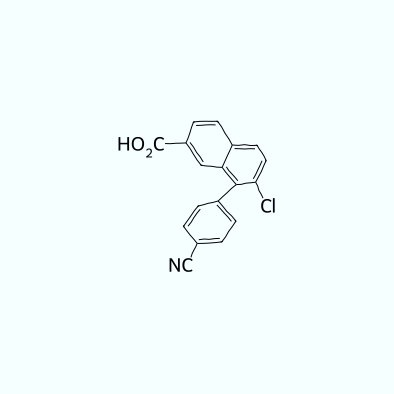 N#Cc1ccc(-c2c(Cl)ccc3ccc(C(=O)O)cc23)cc1